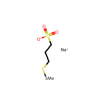 CSSCCCS(=O)(=O)[O-].[Na+]